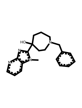 Cn1c(C2(O)CCCN(Cc3ccccc3)CC2)nc2ncccc21